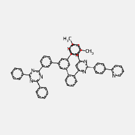 Cc1cc(C)nc(-c2cc(-c3cccc(-c4nc(-c5ccccc5)nc(-c5ccccc5)n4)c3)cc(-c3ccccc3-c3cc(-c4ccccc4)nc(-c4ccc(-c5ccccn5)cc4)n3)c2)n1